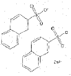 O=S(=O)([O-])c1ccc2ccccc2c1.O=S(=O)([O-])c1ccc2ccccc2c1.[Zn+2]